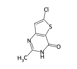 Cc1nc2cc(Cl)sc2c(=O)[nH]1